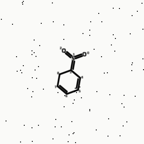 O=S(=O)=C1C=CC=CC1